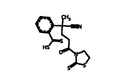 CC(C#N)(CCC(=O)N1CCSC1=S)c1ccccc1C(=S)S